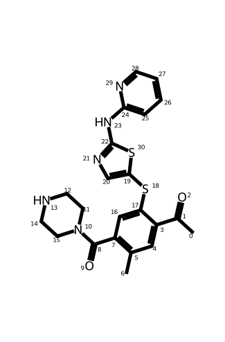 CC(=O)c1cc(C)c(C(=O)N2CCNCC2)cc1Sc1cnc(Nc2ccccn2)s1